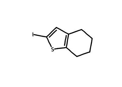 Ic1cc2c(s1)CCCC2